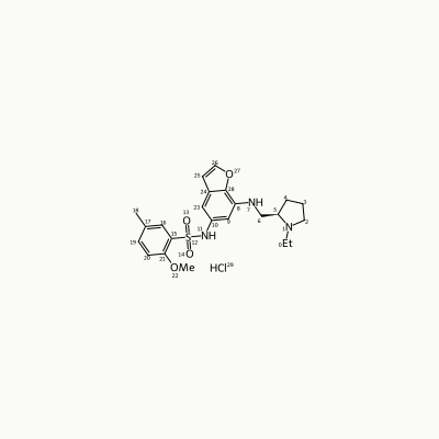 CCN1CCC[C@@H]1CNc1cc(NS(=O)(=O)c2cc(C)ccc2OC)cc2ccoc12.Cl